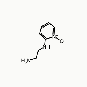 NCCNc1cccc[n+]1[O-]